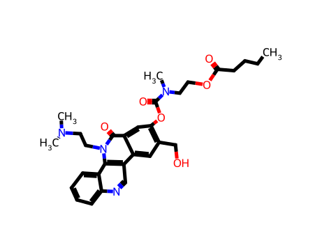 CCCCC(=O)OCCN(C)C(=O)Oc1cc2c(=O)n(CCN(C)C)c3c4ccccc4ncc3c2cc1CO